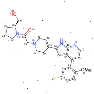 COc1ccc(F)cc1-c1ccnc2[nH]c(C3=CCN(CC(=O)N4CCC[C@H]4CO)CC3)cc12